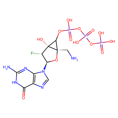 NC[C@]12O[C@@H](n3cnc4c(=O)[nH]c(N)nc43)[C@H](F)[C@@]1(O)C2OP(=O)(O)OP(=O)(O)OP(=O)(O)O